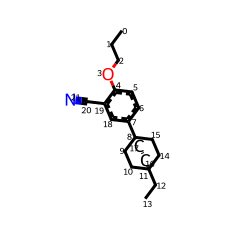 CCCOc1ccc(C23CCC(CC)(CC2)CC3)cc1C#N